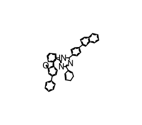 C1=CC(C2=NC(c3ccc(-c4ccc5ccccc5c4)cc3)NC(c3cccc4oc5cc(-c6ccccc6)ccc5c34)=N2)=CCC1